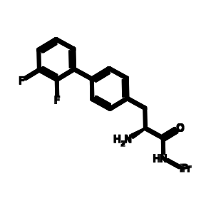 CC(C)NC(=O)[C@@H](N)Cc1ccc(-c2cccc(F)c2F)cc1